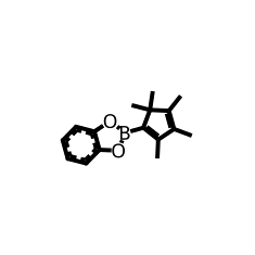 CC1=C(C)C(C)(C)C(B2Oc3ccccc3O2)=C1C